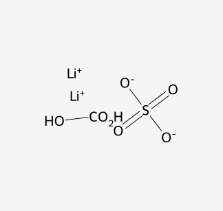 O=C(O)O.O=S(=O)([O-])[O-].[Li+].[Li+]